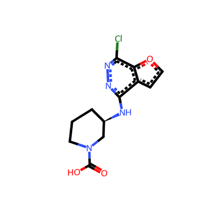 O=C(O)N1CCC[C@@H](Nc2nnc(Cl)c3occc23)C1